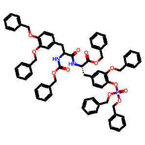 O=C(NC(Cc1ccc(OCc2ccccc2)c(OCc2ccccc2)c1)C(=O)N[C@@H](Cc1ccc(OP(=O)(OCc2ccccc2)OCc2ccccc2)c(OCc2ccccc2)c1)C(=O)OCc1ccccc1)OCc1ccccc1